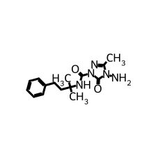 Cc1nn(C(=O)NC(C)(C)CCc2ccccc2)c(=O)n1N